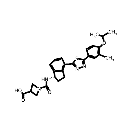 Cc1cc(-c2nnc(-c3cccc4c3CC[C@@H]4NC(=O)N3CC(C(=O)O)C3)s2)ccc1OC(C)C